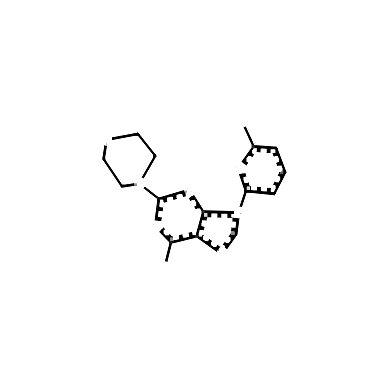 Cc1cccc(-n2cnc3c(O)nc(N4CCOCC4)nc32)n1